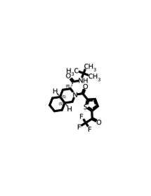 CC(C)(C)NC(=O)[C@H]1C[C@@H]2CCCC[C@@H]2CN1C(=O)c1ccc(C(=O)C(F)(F)F)s1